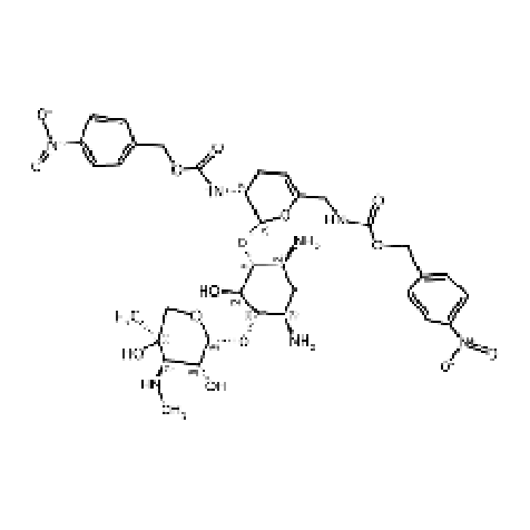 CN[C@@H]1[C@@H](O)[C@@H](O[C@@H]2[C@@H](O)[C@H](O[C@H]3OC(CNC(=O)OCc4ccc([N+](=O)[O-])cc4)=CC[C@H]3NC(=O)OCc3ccc([N+](=O)[O-])cc3)[C@@H](N)C[C@H]2N)OC[C@]1(C)O